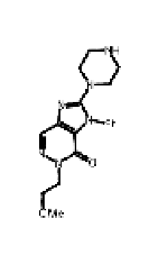 CCn1c(N2CCNCC2)nc2cnn(CCOC)c(=O)c21